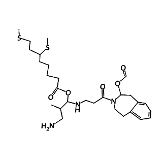 CSCCC(CCCCC(=O)OC(NCCC(=O)N1CCc2ccccc2CC1OC=O)C(C)CN)SC